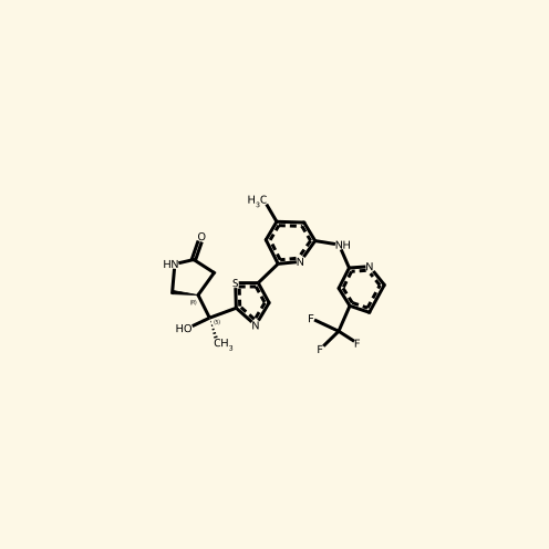 Cc1cc(Nc2cc(C(F)(F)F)ccn2)nc(-c2cnc([C@@](C)(O)[C@H]3CNC(=O)C3)s2)c1